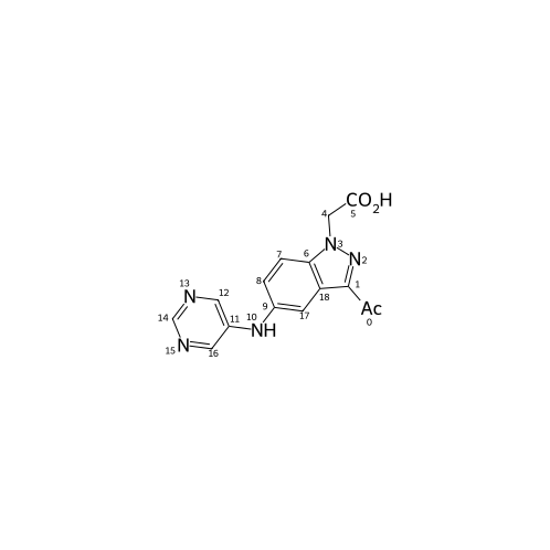 CC(=O)c1nn(CC(=O)O)c2ccc(Nc3cncnc3)cc12